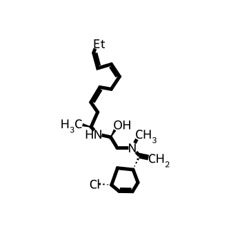 C=C([C@@H]1CC=C[C@H](Cl)C1)N(C)C[C@H](O)N[C@@H](C)C/C=C\C/C=C\C=C/CC